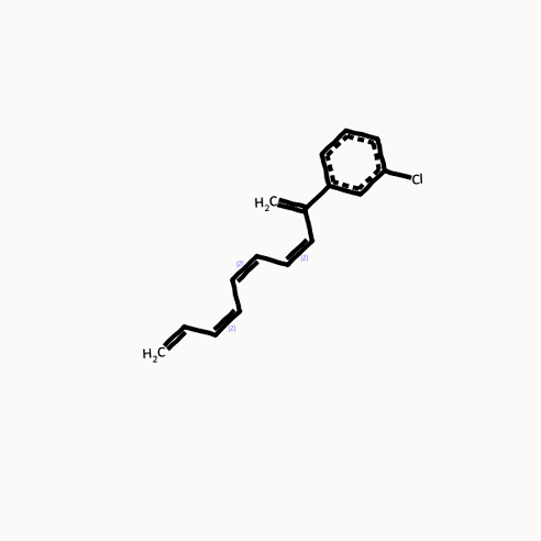 C=C\C=C/C=C\C=C/C(=C)c1cccc(Cl)c1